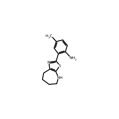 Cc1ccc(N)c(-c2nc3c(s2)NCCCC3)c1